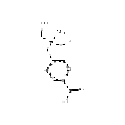 CC(CO)(CO)Cc1ccc(C(=O)O)cc1